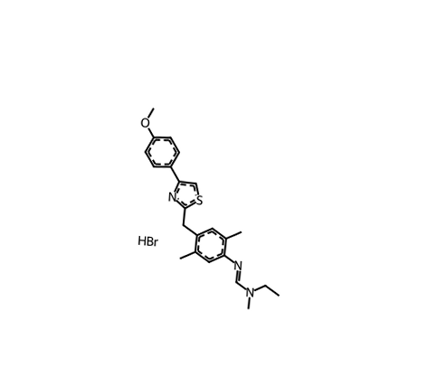 Br.CCN(C)/C=N/c1cc(C)c(Cc2nc(-c3ccc(OC)cc3)cs2)cc1C